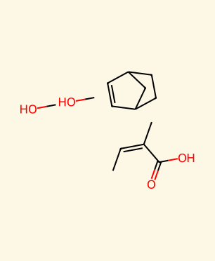 C1=CC2CCC1C2.CC=C(C)C(=O)O.CO.CO